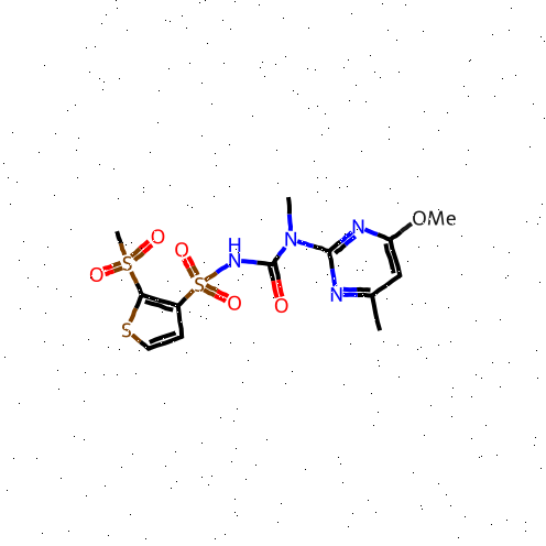 COc1cc(C)nc(N(C)C(=O)NS(=O)(=O)c2ccsc2S(C)(=O)=O)n1